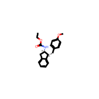 CCOC(=O)N[C@H]1Cc2ccccc2[C@H]1Cc1ccc(OC)cc1